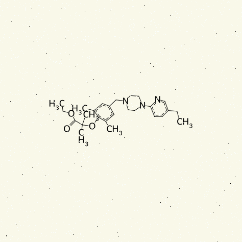 CCOC(=O)C(C)(C)Oc1c(C)cc(CN2CCN(c3ccc(CC)cn3)CC2)cc1C